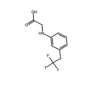 O=C(O)CNc1cccc(SC(F)(F)F)c1